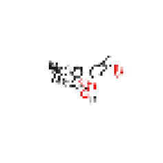 COc1ccc(-c2ccc3c(c2)CCC3=O)c(OC2(C(=O)OC3CCC3)CC2)c1OC